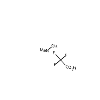 CNO.O=C(O)C(F)(F)F